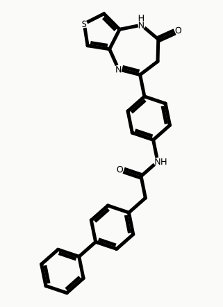 O=C(Cc1ccc(-c2ccccc2)cc1)Nc1ccc(C2=Nc3cscc3NC(=O)C2)cc1